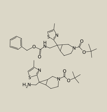 Cc1csc(C2(CN)C3CCN(C(=O)OC(C)(C)C)CC32)n1.Cc1csc(C2(CNC(=O)OCc3ccccc3)C3CCN(C(=O)OC(C)(C)C)CC32)n1